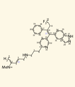 C=C(/C=C/CNCCCc1ccc(/C(=C(/CC(F)(F)F)c2ccccc2)c2ccc3[nH]ncc3c2)cn1)NC